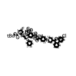 CC(C)(C)OC(=O)N1CCC[C@@H]1CC(CSc1ccccc1)Nc1ccc(S(=O)(=O)NC(=O)c2ccc(N3CCC(C(O)c4ccccc4-c4ccc(Cl)cc4)CC3)cc2)cc1S(=O)(=O)C(F)(F)F